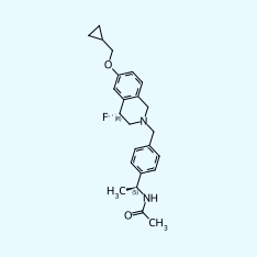 CC(=O)N[C@@H](C)c1ccc(CN2Cc3ccc(OCC4CC4)cc3[C@@H](F)C2)cc1